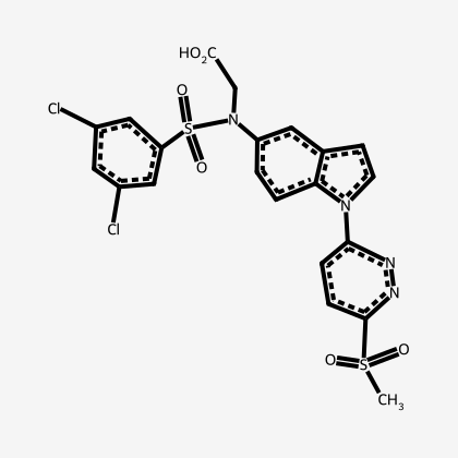 CS(=O)(=O)c1ccc(-n2ccc3cc(N(CC(=O)O)S(=O)(=O)c4cc(Cl)cc(Cl)c4)ccc32)nn1